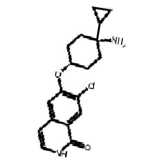 N[C@]1(C2CC2)CC[C@H](Oc2cc3cc[nH]c(=O)c3cc2Cl)CC1